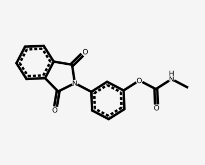 CNC(=O)Oc1cccc(N2C(=O)c3ccccc3C2=O)c1